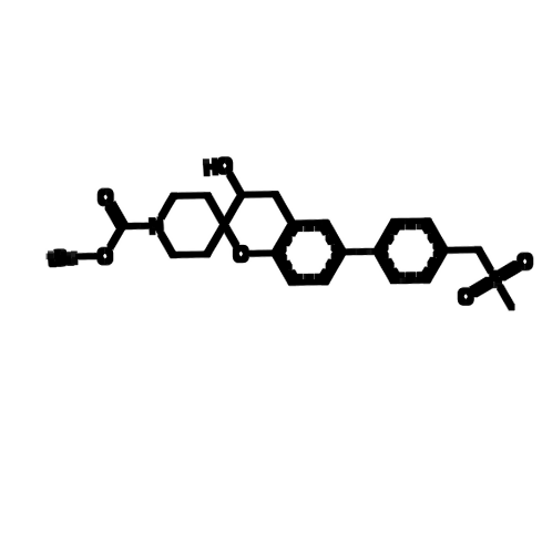 CC(C)(C)OC(=O)N1CCC2(CC1)Oc1ccc(-c3ccc(CS(C)(=O)=O)cc3)cc1CC2O